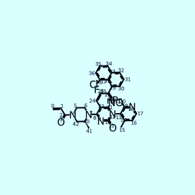 C=CC(=O)N1CCN(c2nc(=O)n(-c3c(C)ccnc3CCC)c(N=O)c2/C=C(/F)C(=C)c2cccc3cccc(Cl)c23)[C@@H](C)C1